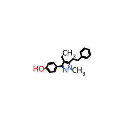 CCc1c(-c2ccc(O)cc2)nn(C)c1CCc1ccccc1